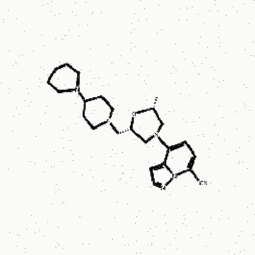 C[C@@H]1CN(c2ccc(C#N)n3nccc23)C[C@H](CN2CCC(N3CCCCC3)CC2)O1